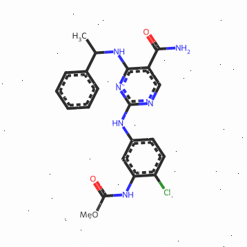 COC(=O)Nc1cc(Nc2ncc(C(N)=O)c(NC(C)c3ccccc3)n2)ccc1Cl